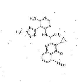 C#Cc1cccc2nc([C@H](C)Nc3ncnc(N)c3-c3nnn(C)n3)n(C3CC3)c(=O)c12